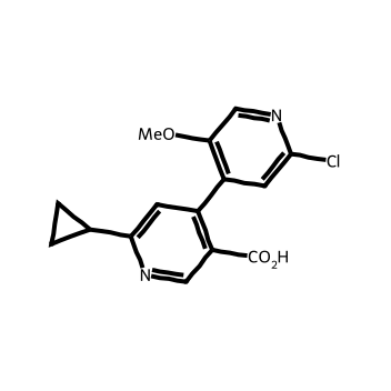 COc1cnc(Cl)cc1-c1cc(C2CC2)ncc1C(=O)O